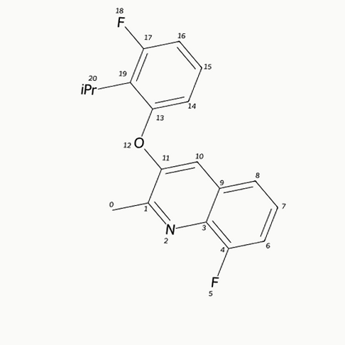 Cc1nc2c(F)cccc2cc1Oc1cccc(F)c1C(C)C